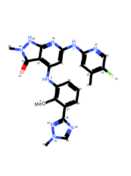 COc1c(Nc2cc(Nc3cc(C)c(F)cn3)nc3[nH]n(C)c(=O)c23)cccc1-c1ncn(C)n1